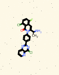 C[C@H](N)c1cc2c(F)ccc(Cl)c2c(=O)n1-c1ccc(-c2nc(Cl)c3ncccc3n2)cc1